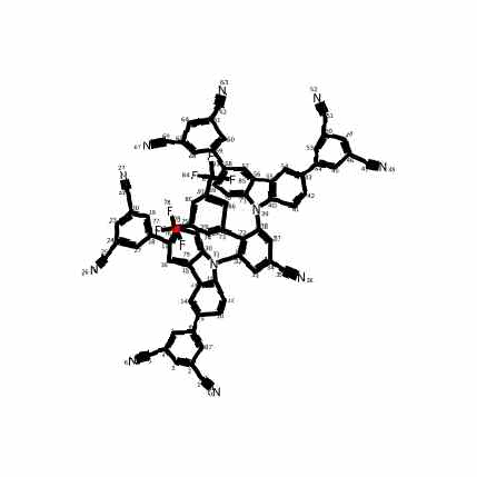 N#Cc1cc(C#N)cc(-c2ccc3c(c2)c2cc(-c4cc(C#N)cc(C#N)c4)ccc2n3-c2cc(C#N)cc(-n3c4ccc(-c5cc(C#N)cc(C#N)c5)cc4c4cc(-c5cc(C#N)cc(C#N)c5)ccc43)c2-c2cc(C(F)(F)F)cc(C(F)(F)F)c2)c1